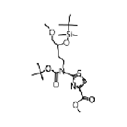 COCC(CCN(C(=O)OC(C)(C)C)c1nc(C(=O)OC)cs1)O[Si](C)(C)C(C)(C)C